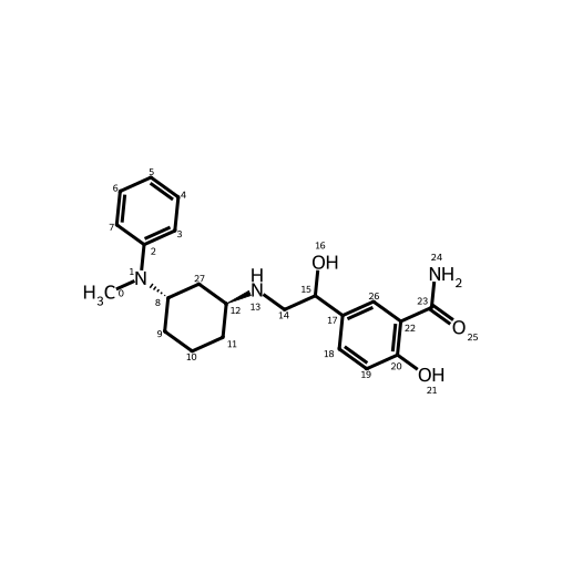 CN(c1ccccc1)[C@H]1CCC[C@H](NCC(O)c2ccc(O)c(C(N)=O)c2)C1